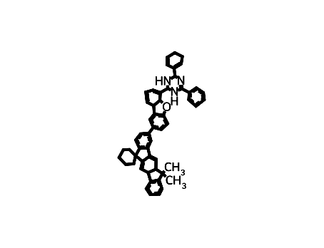 CC1(C)c2ccccc2C2C=C3C(=CC21)c1cc(-c2ccc4c(c2)C2C=CC=C(C5NC(c6ccccc6)=NC(C6=CCCC=C6)N5)C2O4)ccc1C31CCCCC1